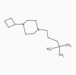 CC(C)(C)CCCN1CCN(C2CCC2)CC1